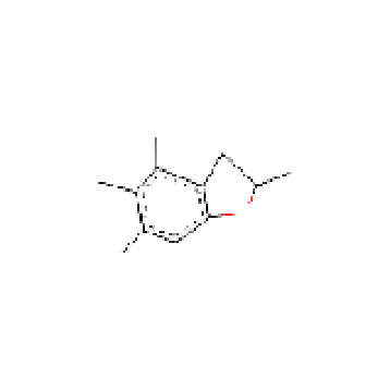 Cc1cc2c(c(C)c1C)CC(C)O2